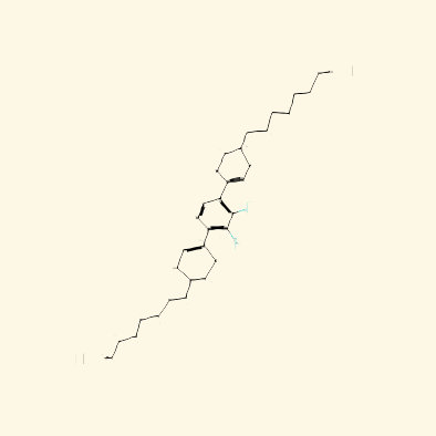 CCCCCCCCC1CC=C(c2ccc(C3=CCC(CCCCCCCC)CC3)c(F)c2F)CC1